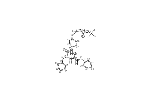 CC(C)(C)OC(=O)NC1CC1c1ccc(NC(=O)C(Cc2ccccc2)NC(=O)NCc2ccccc2)cc1